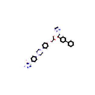 CCC(C)n1ncn(-c2ccc(N3CCN(c4ccc(OCC5COC(Cn6nccn6)(c6ccc(-c7ccccc7)cc6)O5)cc4)CC3)cc2)c1=O